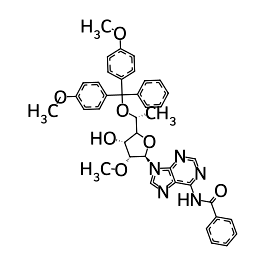 COc1ccc(C(O[C@H](C)C2O[C@@H](n3cnc4c(NC(=O)c5ccccc5)ncnc43)[C@H](OC)[C@@H]2O)(c2ccccc2)c2ccc(OC)cc2)cc1